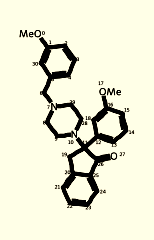 COc1cccc(CN2CCN(C3(c4cccc(OC)c4)Cc4ccccc4C3=O)CC2)c1